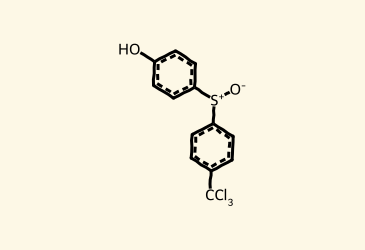 [O-][S+](c1ccc(O)cc1)c1ccc(C(Cl)(Cl)Cl)cc1